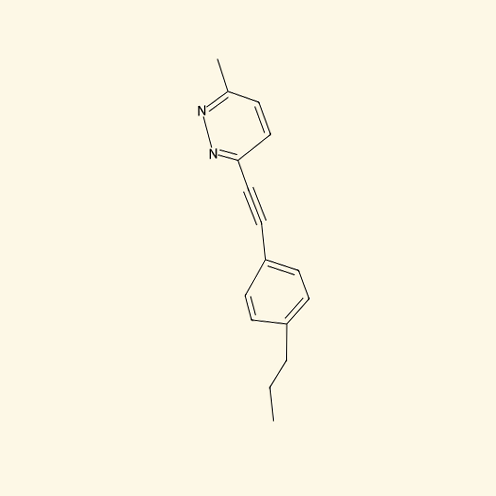 CCCc1ccc(C#Cc2ccc(C)nn2)cc1